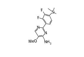 COc1cnc(-c2ccc([Si](C)(C)C)c(F)c2F)nc1N